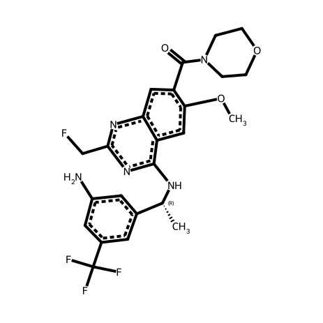 COc1cc2c(N[C@H](C)c3cc(N)cc(C(F)(F)F)c3)nc(CF)nc2cc1C(=O)N1CCOCC1